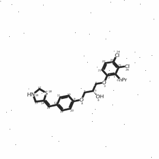 CCCc1c(OC[C@H](O)COc2ccc(C=C3CNCS3)cc2)ccc(Cl)c1Cl